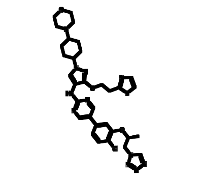 C[C@@H](Cn1cnnn1)Oc1cc(-c2cnc(Nc3cn(C4CCC(N5CCOCC5)CC4)nc3OCCc3nccs3)nc2)ccc1Cl